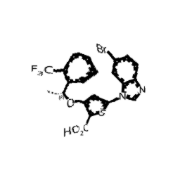 C[C@@H](Oc1cc(-n2cnc3ccc(Br)cc32)sc1C(=O)O)c1ccccc1C(F)(F)F